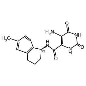 Cc1ccc2c(c1)CCC[C@@H]2NC(=O)c1[nH]c(=O)[nH]c(=O)c1N